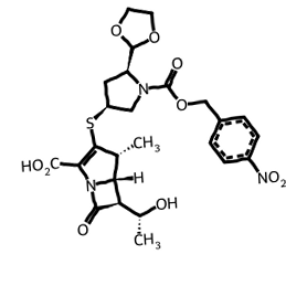 C[C@@H](O)[C@H]1C(=O)N2C(C(=O)O)=C(S[C@H]3C[C@@H](C4OCCO4)N(C(=O)OCc4ccc([N+](=O)[O-])cc4)C3)[C@H](C)[C@H]12